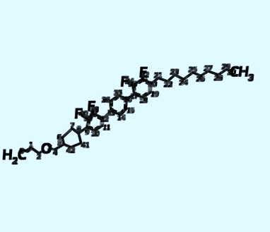 C=CCOCC1CCC(c2ccc(-c3ccc(-c4ccc(CCCCCCCCCC)c(F)c4F)cc3)c(F)c2F)CC1